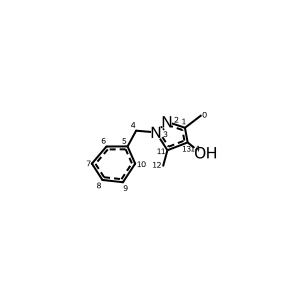 Cc1nn(Cc2ccccc2)c(C)c1O